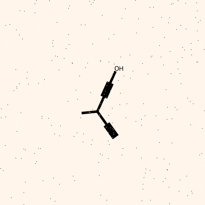 C#CC(C)C#CO